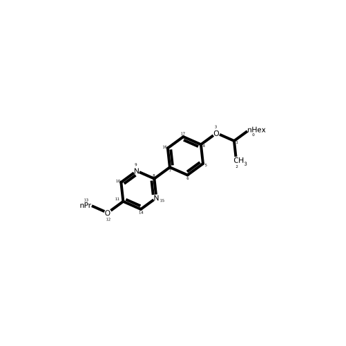 CCCCCCC(C)Oc1ccc(-c2ncc(OCCC)cn2)cc1